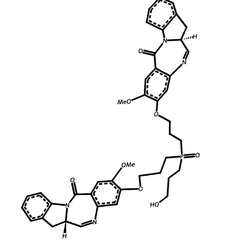 COc1cc2c(cc1OCCCP(=O)(CCCO)CCCOc1cc3c(cc1OC)C(=O)N1c4ccccc4C[C@H]1C=N3)N=C[C@@H]1Cc3ccccc3N1C2=O